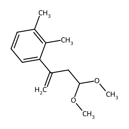 C=C(CC(OC)OC)c1cccc(C)c1C